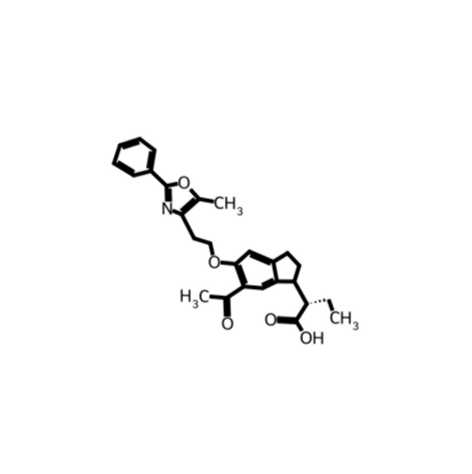 CC[C@H](C(=O)O)C1CCc2cc(OCCc3nc(-c4ccccc4)oc3C)c(C(C)=O)cc21